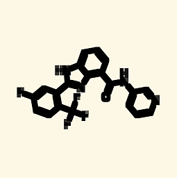 O=C(Nc1cccnc1)c1cccc2[nH]c(-c3cc(F)ccc3C(F)(F)F)nc12